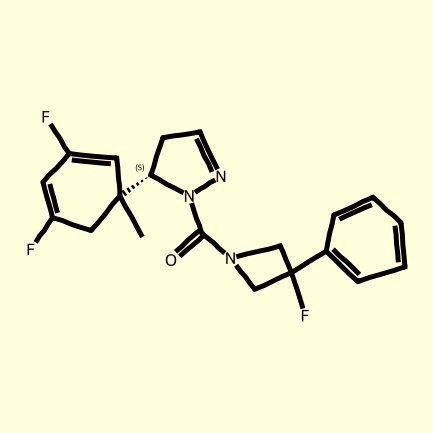 CC1([C@@H]2CC=NN2C(=O)N2CC(F)(c3ccccc3)C2)C=C(F)C=C(F)C1